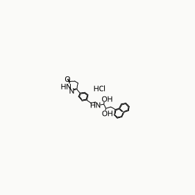 Cl.O=C1CCC(c2ccc(CCNC(O)C(O)Cc3cccc4ccccc34)cc2)=NN1